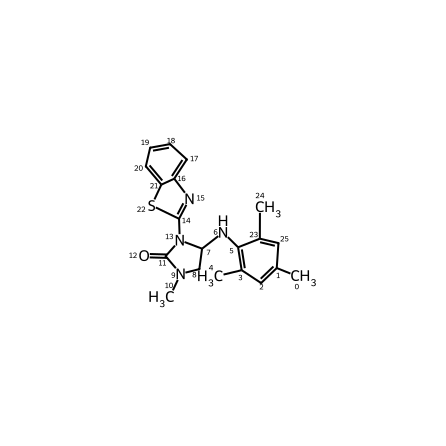 Cc1cc(C)c(NC2CN(C)C(=O)N2c2nc3ccccc3s2)c(C)c1